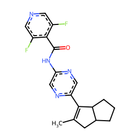 CC1=C(c2cnc(NC(=O)c3c(F)cncc3F)cn2)C2CCCC2C1